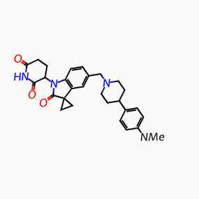 CNc1ccc(C2CCN(Cc3ccc4c(c3)C3(CC3)C(=O)N4C3CCC(=O)NC3=O)CC2)cc1